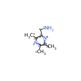 Cc1nc(C)c(CN)nc1C